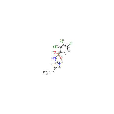 O=C(O)Cc1cnc(NS(=O)(=O)c2ccc(Cl)c(Cl)c2Cl)s1